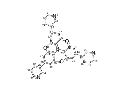 c1cncc(-c2cc3c4c(c2)Oc2cc(-c5cccnc5)cc5c2B4c2c(cc(-c4cccnc4)cc2O5)O3)c1